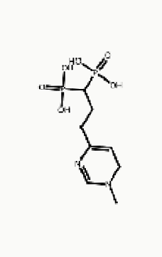 CN1C=NC(CCC(P(=O)(O)O)P(=O)(O)O)=CC1